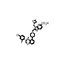 CN1c2c(cccc2C2CCN(Cc3nc4ccc(C(=O)O)nc4n3C[C@@H]3CCO3)CC2)OC[C@@H]1c1ccc(Cl)cc1F